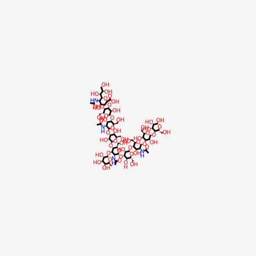 CC(=O)N[C@H]1[C@H](O[C@H]2[C@@H](O)[C@@H](CO)O[C@@H](O[C@H]3[C@H](O)[C@@H](O)[C@H](O)O[C@@H]3CO)[C@@H]2O)O[C@H](CO)[C@@H](O[C@@H]2O[C@H](CO)[C@H](O)[C@H](O[C@@H]3O[C@H](CO)[C@@H](O[C@@H]4O[C@H](CO)[C@H](O)[C@H](O[C@@H]5O[C@H](CO)[C@@H](O[C@@H]6O[C@H](CO)[C@H](O)[C@H](O[C@]7(C(=O)O)C[C@H](O)[C@@H](NC(C)=O)[C@H]([C@H](O)[C@H](O)CO)O7)[C@H]6O)[C@H](O)[C@H]5NC(C)=O)[C@H]4O)[C@H](O[C@@H]4O[C@@H](C)[C@@H](O)[C@@H](O)[C@@H]4O)[C@H]3NC(C)=O)[C@H]2O)[C@@H]1O